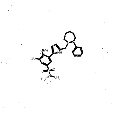 COc1c(-c2ccc(CN3CCCCCC3c3ccccc3)[nH]2)cc(S(=O)(=O)N(C)C)cc1C(C)(C)C